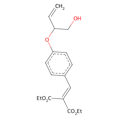 C=CC(CO)Oc1ccc(C=C(C(=O)OCC)C(=O)OCC)cc1